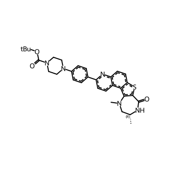 C[C@@H]1CN(C)c2c(sc3ccc4nc(-c5ccc(N6CCN(C(=O)OC(C)(C)C)CC6)cc5)ccc4c23)C(=O)N1